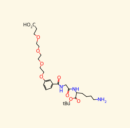 CC(C)(C)OC(=O)C(CCCCN)NC(=O)CNC(=O)c1cccc(OCCOCCOCCOCCC(=O)O)c1